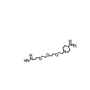 CCCNCCOCCOCCOCCN1CCC(NCC)CC1